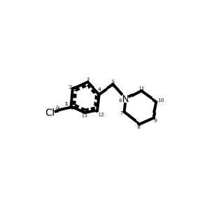 Clc1ccc([CH]N2CCCCC2)cc1